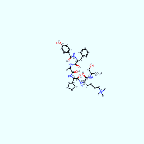 CC(NC(=O)[C@H](Cc1ccccc1)NC(=O)c1ccc(O)cc1)C(=O)NC(C(=O)N[C@@H](CCCC[N+](C)(C)C)C(=O)NC(CO)C(=O)O)C1CCCC1